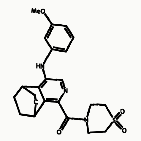 COc1cccc(Nc2cnc(C(=O)N3CCS(=O)(=O)CC3)c3c2C2CCC3CC2)c1